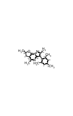 Cc1cc(C)c(-c2c(C)nn3c4c(c(C)nc23)CC(C)O4)c(C)c1